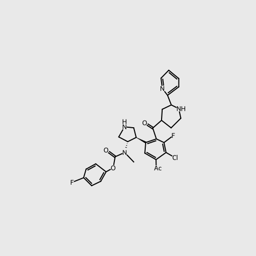 CC(=O)c1cc([C@@H]2CNC[C@H]2N(C)C(=O)Oc2ccc(F)cc2)c(C(=O)C2CCNC(c3ccccn3)C2)c(F)c1Cl